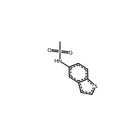 CS(=O)(=O)Nc1ccc2sccc2c1